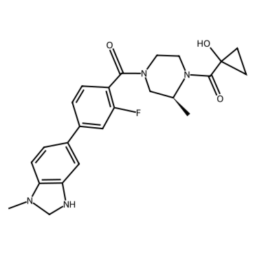 C[C@H]1CN(C(=O)c2ccc(-c3ccc4c(c3)NCN4C)cc2F)CCN1C(=O)C1(O)CC1